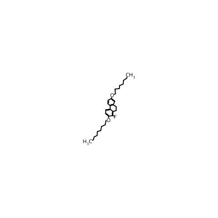 CCCCCCCCCOc1ccc2c(c1F)CCc1cc(OCCCCCCCC)ccc1-2